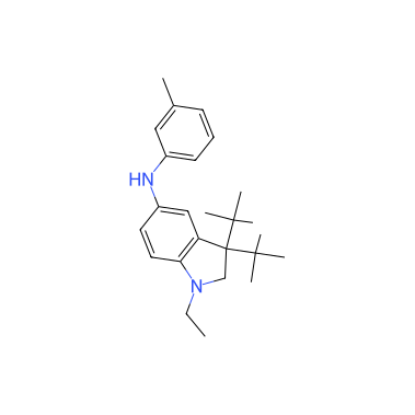 CCN1CC(C(C)(C)C)(C(C)(C)C)c2cc(Nc3cccc(C)c3)ccc21